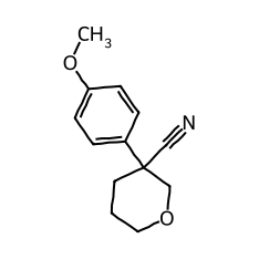 COc1ccc(C2(C#N)CCCOC2)cc1